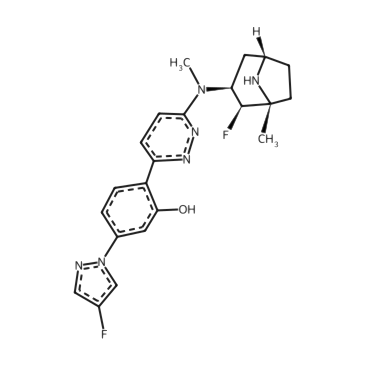 CN(c1ccc(-c2ccc(-n3cc(F)cn3)cc2O)nn1)[C@H]1C[C@@H]2CC[C@@](C)(N2)[C@H]1F